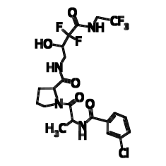 CC(NC(=O)c1cccc(Cl)c1)C(=O)N1CCCC1C(=O)NCC(O)C(F)(F)C(=O)NCC(F)(F)F